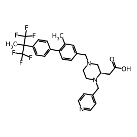 Cc1cc(CN2CCN(Cc3ccncc3)[C@H](CC(=O)O)C2)ccc1-c1ccc(C(C)(C(F)(F)F)C(F)(F)F)cc1